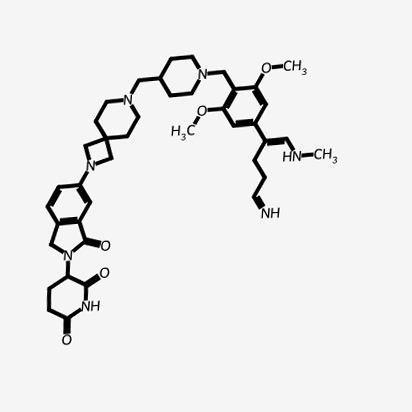 CN/C=C(\CCC=N)c1cc(OC)c(CN2CCC(CN3CCC4(CC3)CN(c3ccc5c(c3)C(=O)N(C3CCC(=O)NC3=O)C5)C4)CC2)c(OC)c1